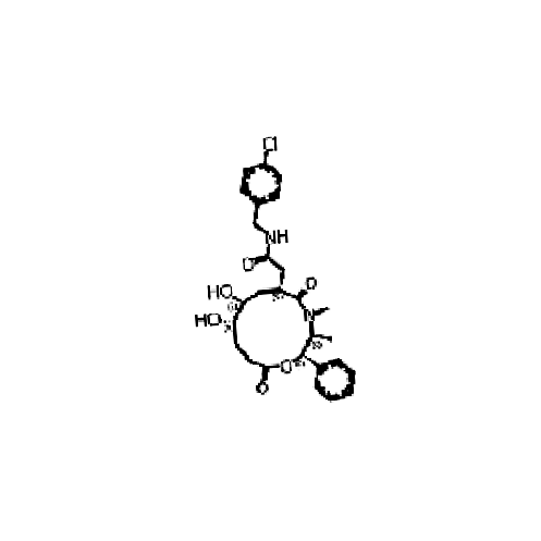 C[C@H]1[C@@H](c2ccccc2)OC(=O)CC[C@H](O)[C@@H](O)C[C@@H](CC(=O)NCc2ccc(Cl)cc2)C(=O)N1C